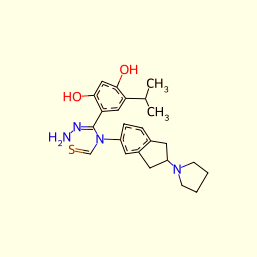 CC(C)c1cc(/C(=N/N)N(C=S)c2ccc3c(c2)CC(N2CCCC2)C3)c(O)cc1O